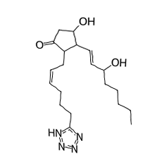 CCCCCC(O)C=CC1C(O)CC(=O)C1C/C=C\CCCc1nnn[nH]1